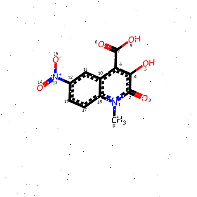 Cn1c(=O)c(O)c(C(=O)O)c2cc([N+](=O)[O-])ccc21